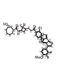 CCc1cc(C(=N)/C2=C\C/C=C\C=C3\C(c4ccc(OC)c(F)c4F)=CN=C32)ccc1C(=O)CCC12CC(NC(=O)[C@H]3CCCC[C@H](O)C3)(C1)[C@@H]2C